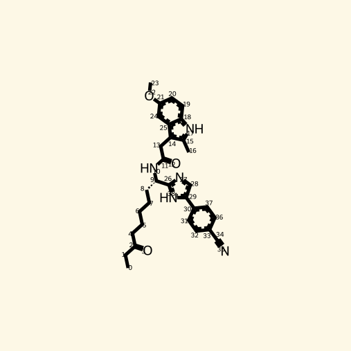 CCC(=O)CCCCC[C@H](NC(=O)Cc1c(C)[nH]c2ccc(OC)cc12)c1ncc(-c2ccc(C#N)cc2)[nH]1